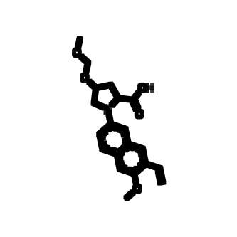 C=Cc1cc2cc(N3CC(OCOC)CC3C(=O)O)ccc2cc1OC